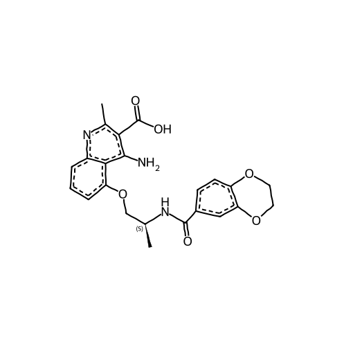 Cc1nc2cccc(OC[C@H](C)NC(=O)c3ccc4c(c3)OCCO4)c2c(N)c1C(=O)O